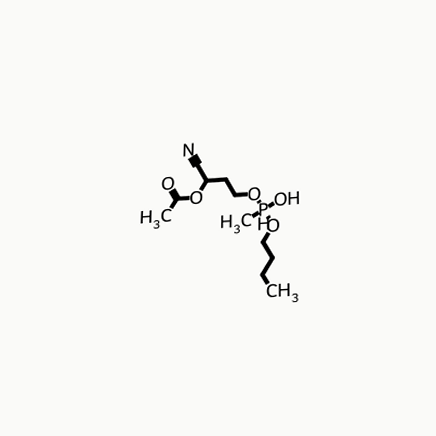 CCCCO[PH](C)(O)OCCC(C#N)OC(C)=O